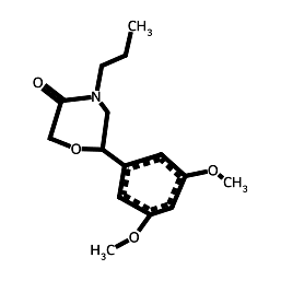 CCCN1CC(c2cc(OC)cc(OC)c2)OCC1=O